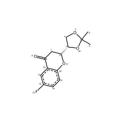 CC1(C)OC[C@@H](C2CC(=O)c3cc(F)ccc3O2)O1